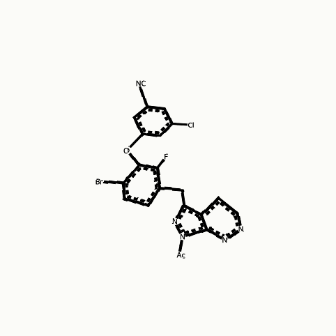 [C-]#[N+]c1cc(Cl)cc(Oc2c(Br)ccc(Cc3nn(C(C)=O)c4nnccc34)c2F)c1